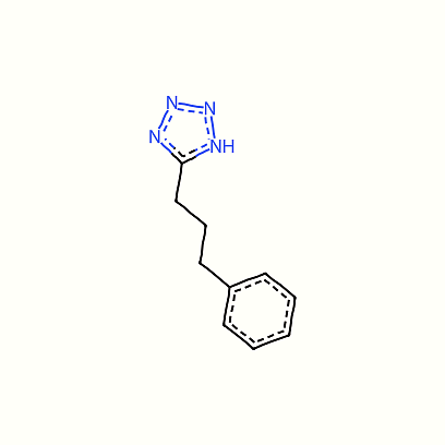 c1ccc(CCCc2nnn[nH]2)cc1